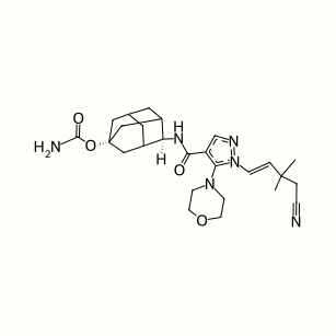 CC(C)(/C=C/n1ncc(C(=O)N[C@H]2C3CC4CC2C[C@](OC(N)=O)(C4)C3)c1N1CCOCC1)CC#N